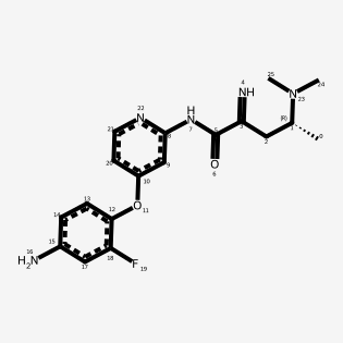 C[C@H](CC(=N)C(=O)Nc1cc(Oc2ccc(N)cc2F)ccn1)N(C)C